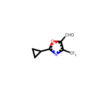 O=Cc1oc(C2CC2)nc1C(F)(F)F